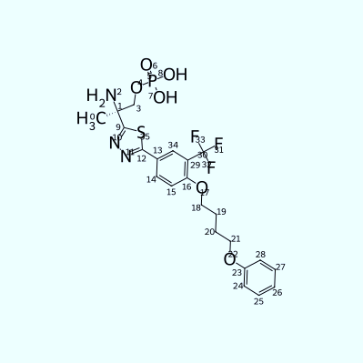 C[C@](N)(COP(=O)(O)O)c1nnc(-c2ccc(OCCCCOc3ccccc3)c(C(F)(F)F)c2)s1